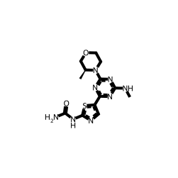 CNc1nc(-c2cnc(NC(N)=O)s2)nc(N2CCOC[C@@H]2C)n1